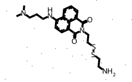 CN(C)CCCNc1ccc2c3c(cccc13)C(=O)N(CCSSCCN)C2=O